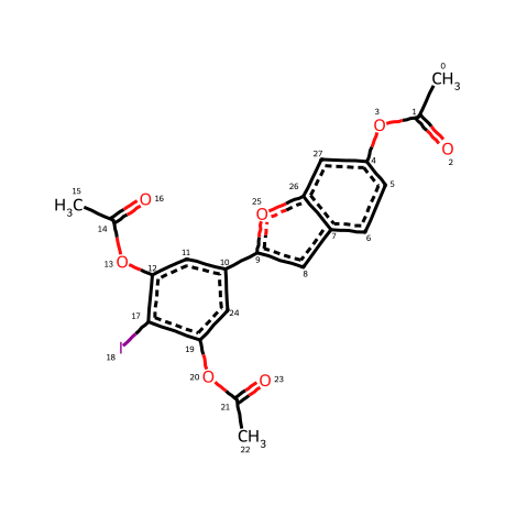 CC(=O)Oc1ccc2cc(-c3cc(OC(C)=O)c(I)c(OC(C)=O)c3)oc2c1